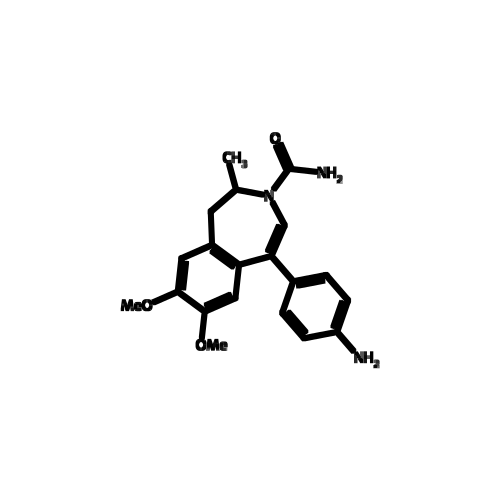 COc1cc2c(cc1OC)C(c1ccc(N)cc1)=CN(C(N)=O)C(C)C2